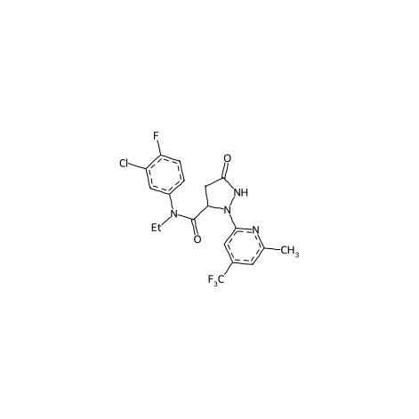 CCN(C(=O)C1CC(=O)NN1c1cc(C(F)(F)F)cc(C)n1)c1ccc(F)c(Cl)c1